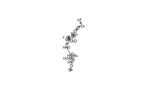 Cc1ncsc1-c1ccc([C@H](C)NC(=O)[C@@H]2C[C@@H](O)CN2C(=O)[C@@H](NC(=O)CCCCCC(=O)N[C@H]2CCN(CC[C@H](CSc3ccccc3)Nc3ccc(S(=O)(=O)NC(=O)c4ccc(N5CCN(CC6=C(C78CC(C(F)F)(C7)C8)CC(C)(C)CC6)CC5)cc4)cc3S(=O)(=O)C(F)(F)F)C2)C(C)(C)C)cc1